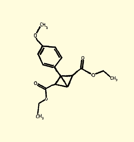 CCOC(=O)C1C2C(C(=O)OCC)C12c1ccc(OC)cc1